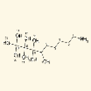 NCCCCCC(O)C(O)(O)C(O)(O)C(O)(O)O